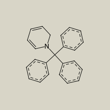 C1=CCN(C(c2ccccc2)(c2ccccc2)c2ccccc2)C=C1